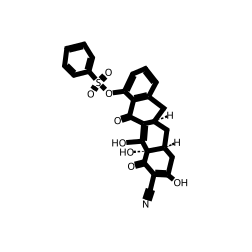 N#CC1=C(O)C[C@@H]2C[C@@H]3Cc4cccc(OS(=O)(=O)c5ccccc5)c4C(=O)C3=C(O)[C@]2(O)C1=O